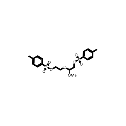 CO[C@H](COS(=O)(=O)c1ccc(C)cc1)OCCOS(=O)(=O)c1ccc(C)cc1